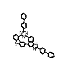 c1ccc(-c2ccc(-c3nc(-c4ccccc4)nc(-c4cccc5sc6ccc(-c7ccc8sc(-c9ccc(-c%10ccccc%10)cc9)nc8c7)cc6c45)n3)cc2)cc1